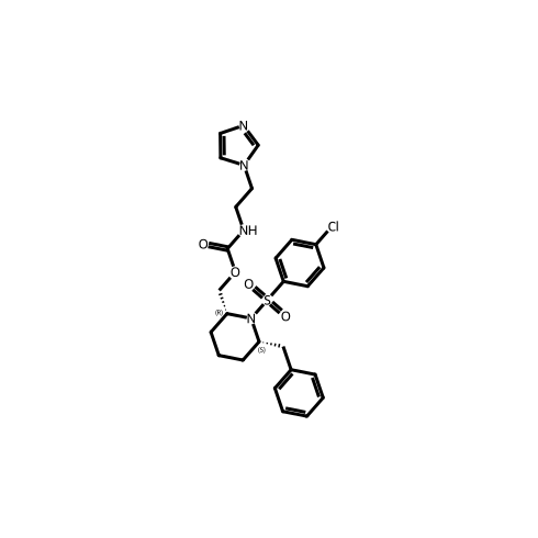 O=C(NCCn1ccnc1)OC[C@H]1CCC[C@@H](Cc2ccccc2)N1S(=O)(=O)c1ccc(Cl)cc1